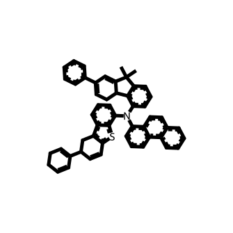 CC1(C)C2=CC(c3ccccc3)=CCC2c2c(N(c3cccc4c3ccc3ccccc34)c3cccc4c5c(sc34)C=CC(C3=CCCC=C3)C5)cccc21